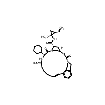 C=C[C@@H]1C[C@]1(NC(=O)[C@@H]1C[C@@H]2CN1C(=O)[C@H](C1CCCCC1)NC(C)CCCC/C=C/c1cccc3c1CN(C3)C(=O)O2)C(=O)O